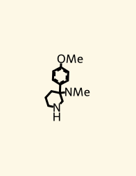 CNC1(c2ccc(OC)cc2)CCCNC1